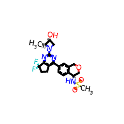 C[C@H]1[C@H](O)CN1c1nc(-c2ccc3c(c2)COC[C@@H]3NS(C)(=O)=O)c2c(n1)C(F)(F)CC2